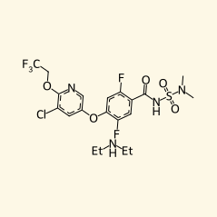 CCNCC.CN(C)S(=O)(=O)NC(=O)c1cc(F)c(Oc2cnc(OCC(F)(F)F)c(Cl)c2)cc1F